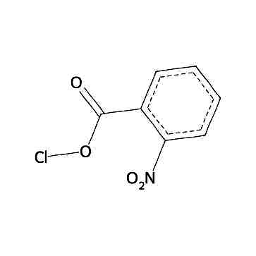 O=C(OCl)c1ccccc1[N+](=O)[O-]